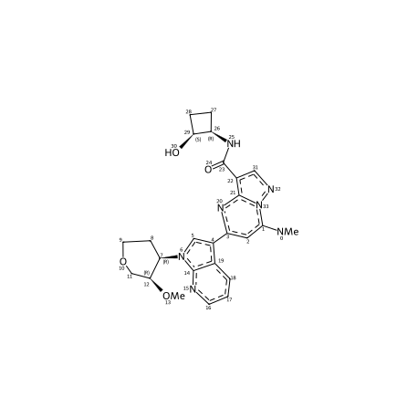 CNc1cc(-c2cn([C@@H]3CCOC[C@@H]3OC)c3ncccc23)nc2c(C(=O)N[C@@H]3CC[C@@H]3O)cnn12